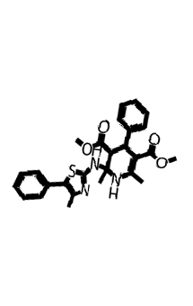 COC(=O)C1=C(C)NC(C)(Nc2nc(C)c(-c3ccccc3)s2)C(C(=O)OC)C1c1ccccc1